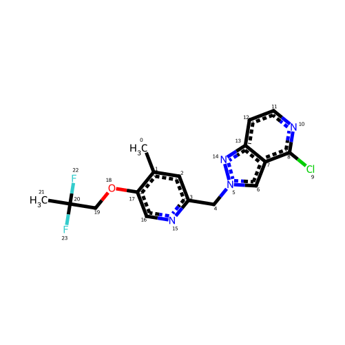 Cc1cc(Cn2cc3c(Cl)nccc3n2)ncc1OCC(C)(F)F